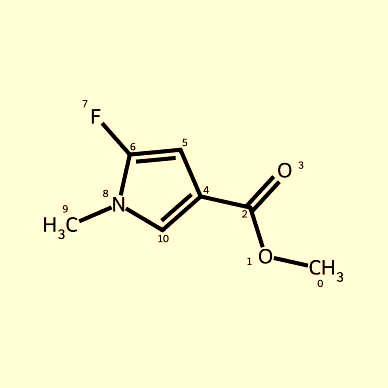 COC(=O)c1cc(F)n(C)c1